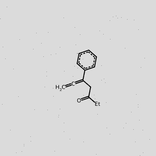 C=C=C(CC(=O)CC)c1c[c]ccc1